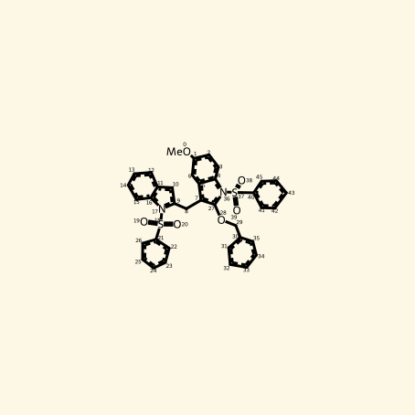 COc1ccc2c(c1)c(Cc1cc3ccccc3n1S(=O)(=O)c1ccccc1)c(OCc1ccccc1)n2S(=O)(=O)c1ccccc1